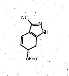 CCCCCC1C=Cc2c(C#N)n[nH]c2C1